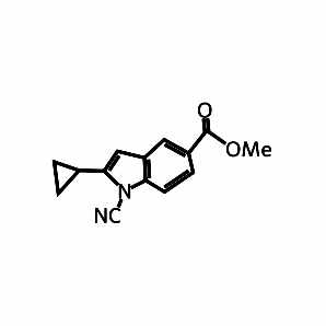 COC(=O)c1ccc2c(c1)cc(C1CC1)n2C#N